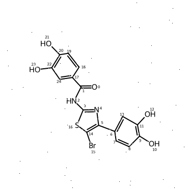 O=C(Nc1nc(-c2ccc(O)c(O)c2)c(Br)s1)c1ccc(O)c(O)c1